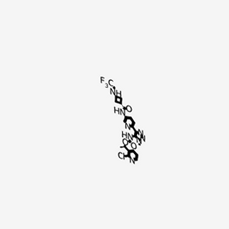 C[C@@H](OC(=O)Nc1c(-c2ccc(NC(=O)[C@H]3C[C@@H](NCC(F)(F)F)C3)cn2)nnn1C)c1cccnc1Cl